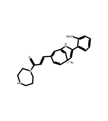 COc1ccccc1C1=C[C@H]2C=CC(/C=C/C(=O)N3CCCNCC3)=CC(=C2)N1